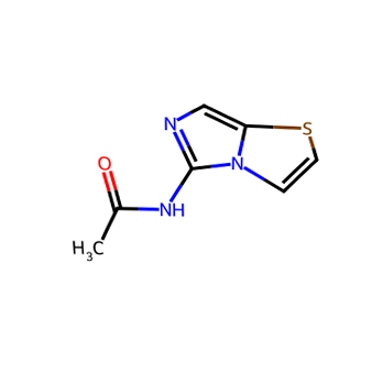 CC(=O)Nc1ncc2sccn12